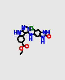 CCOC(=O)C1CCc2[nH]c3ncnc(Nc4cc5[nH]c(=O)[nH]c5cc4Cl)c3c2C1